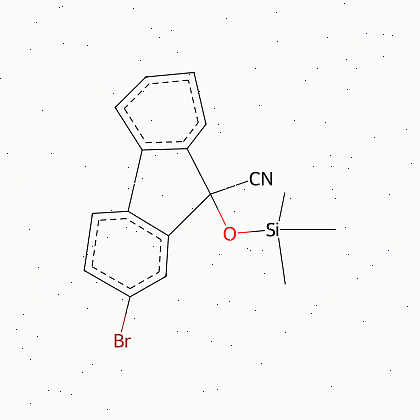 C[Si](C)(C)OC1(C#N)c2ccccc2-c2ccc(Br)cc21